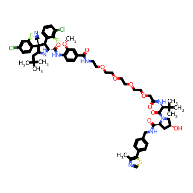 COc1cc(C(=O)NCCOCCOCCOCCOCC(=O)N[C@H](C(=O)N2C[C@H](O)C[C@H]2C(=O)NCc2ccc(-c3scnc3C)cc2)C(C)(C)C)ccc1NC(=O)[C@@H]1NC(CC(C)(C)C)[C@](C#N)(c2ccc(Cl)cc2F)C1c1cccc(Cl)c1F